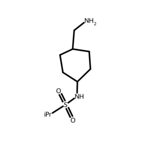 CC(C)S(=O)(=O)NC1CCC(CN)CC1